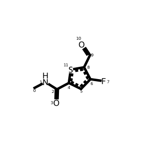 CNC(=O)c1cc(F)c(C=O)s1